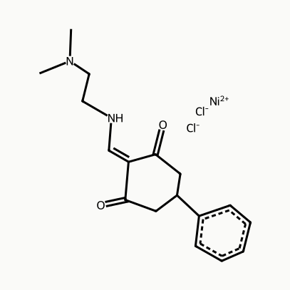 CN(C)CCNC=C1C(=O)CC(c2ccccc2)CC1=O.[Cl-].[Cl-].[Ni+2]